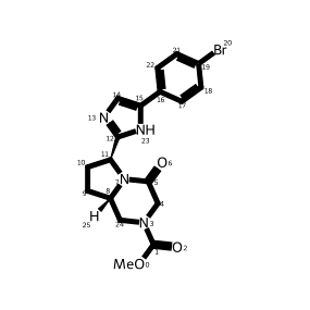 COC(=O)N1CC(=O)N2[C@@H](CC[C@H]2c2ncc(-c3ccc(Br)cc3)[nH]2)C1